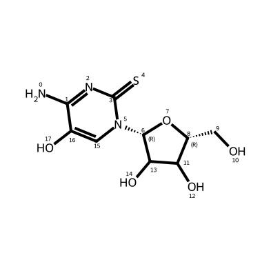 Nc1nc(=S)n([C@@H]2O[C@H](CO)C(O)C2O)cc1O